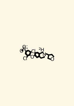 [2H]C1c2ccc(Oc3c(Cl)cc([N+](=O)[O-])cc3Cl)cc2CCN1CC1CCOCC1